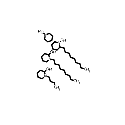 CCCCCCCCCC1CCCCN1O.CCCCCCCCCN1CCCCC1O.CCCCN1CCCCC1O.ON1CCCCC1